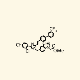 COC(=O)CNc1ccc(Cn2cc(-c3ccc(Cl)cc3Cl)nc2C=Cc2ccc(-c3cccc(C(F)(F)F)c3)cc2)cc1C